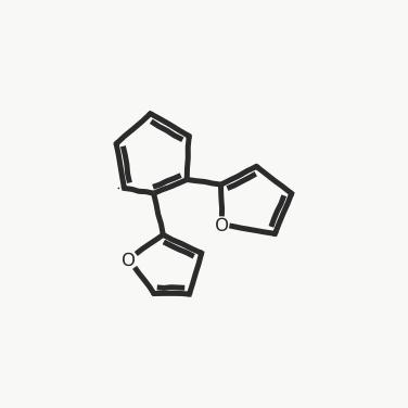 [c]1cccc(-c2ccco2)c1-c1ccco1